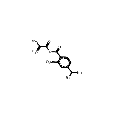 C=C(C(=O)OC(=O)c1ccc(C(N)CC)cc1[N+](=O)[O-])C(C)(C)C